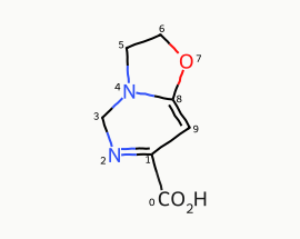 O=C(O)C1=NCN2CCOC2=C1